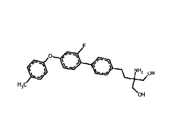 Cc1ccc(Oc2ccc(-c3ccc(CCC(N)(CO)CO)cc3)c(F)c2)cc1